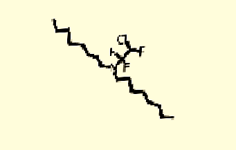 CCCCCCCCN(CCCCCCCC)C(F)(F)C(F)Cl